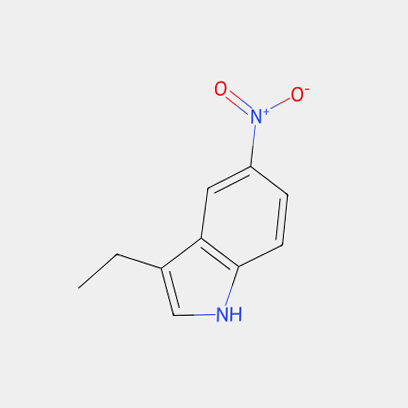 CCc1c[nH]c2ccc([N+](=O)[O-])cc12